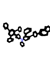 c1ccc(-c2cc(-c3ccccc3)c(-c3ccc(N(c4ccccc4)c4ccc(-c5ccc(-c6ccc7ccccc7c6)cc5)c(-c5ccccc5)c4)cc3)c(-c3ccccc3)c2)cc1